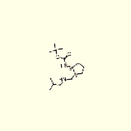 CC(C)CNC[C@@H]1CCC[C@@H]1NC(=O)OC(C)(C)C